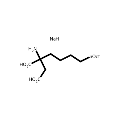 CCCCCCCCCCCCC(N)(CC(=O)O)C(=O)O.[NaH]